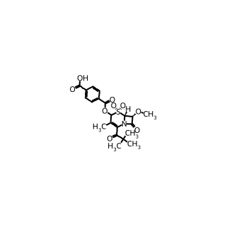 CO[C@H]1C(=O)N2C(C(=O)C(C)(C)C)=C(C)C(OC(=O)c3ccc(C(=O)O)cc3)S(=O)(=O)[C@H]12